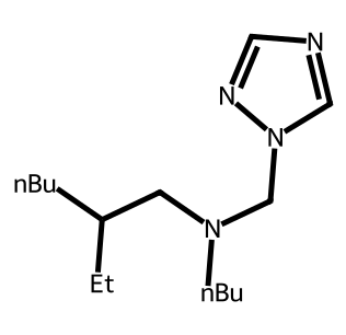 CCCCC(CC)CN(CCCC)Cn1cncn1